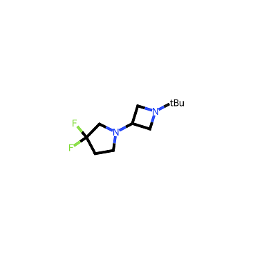 CC(C)(C)N1CC(N2CCC(F)(F)C2)C1